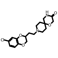 O=C1COC2(CCN(CCC3COc4ccc(Cl)cc4O3)CC2)CN1